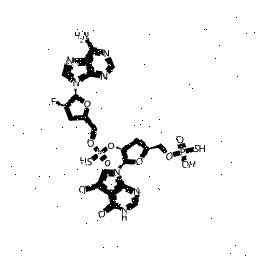 Nc1ncnc2c1ncn2[C@@H]1OC(COP(=O)(S)O[C@@H]2C[C@@H](COP(=O)(O)S)O[C@H]2n2cc(Cl)c3c(=O)[nH]cnc32)C[C@H]1F